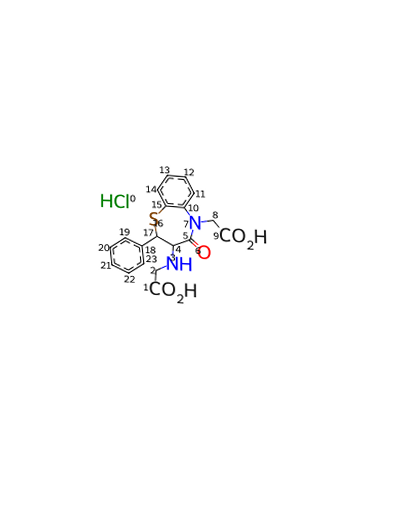 Cl.O=C(O)CNC1C(=O)N(CC(=O)O)c2ccccc2SC1c1ccccc1